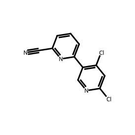 N#Cc1cccc(-c2cnc(Cl)cc2Cl)n1